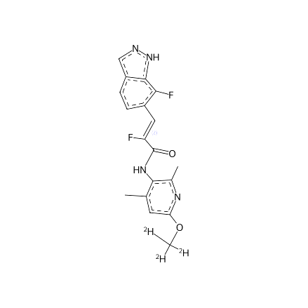 [2H]C([2H])([2H])Oc1cc(C)c(NC(=O)/C(F)=C/c2ccc3cn[nH]c3c2F)c(C)n1